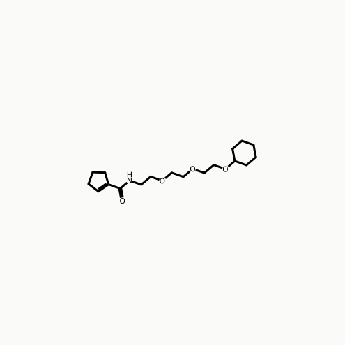 O=C(NCCOCCOCCOC1CCCCC1)C1=CCCC1